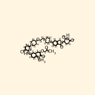 CC(=O)COc1cc2cc(Nc3nc(N4CCC(OCCN5CCN(c6ccc7c(c6)CN(C6CCC(=O)NC6=O)C7=O)CC5)CC4)ncc3Cl)ccc2n(C)c1=O